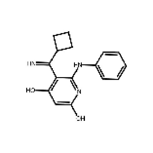 N=C(c1c(O)cc(O)nc1Nc1ccccc1)C1CCC1